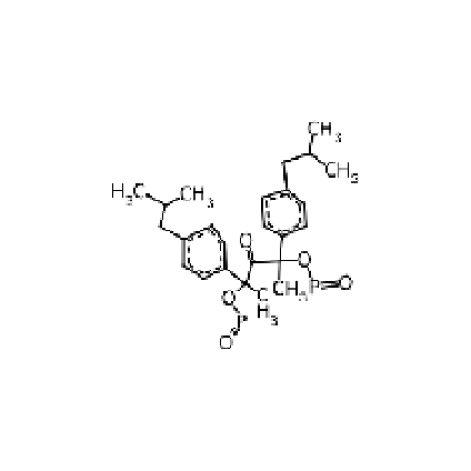 CC(C)Cc1ccc(C(C)(OP=O)C(=O)C(C)(OP=O)c2ccc(CC(C)C)cc2)cc1